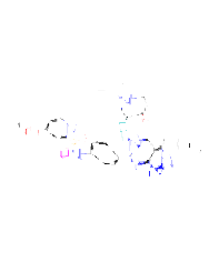 COc1ccnc(S(=O)(=O)Nc2ccc(-c3nc(O[C@@H]4CCN(C)C[C@@H]4F)c4c(C)n[nH]c4n3)cc2)c1